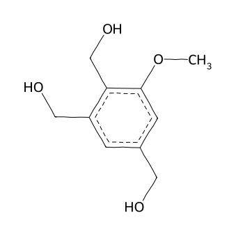 COc1cc(CO)cc(CO)c1CO